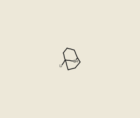 [Li][C]12BC(CCC1)CCC2